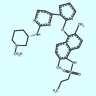 Cc1ccc2c(Oc3ncccc3-c3ccnc(N[C@H]4CCCN(C(=O)O)C4)n3)c(C)ccc2c1NS(=O)(=O)CCC(F)(F)F